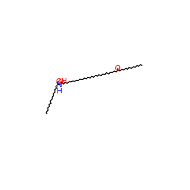 CCCCCCCCCCCCCCCC[C@@H](CO)NC(=O)CCCCCCCCCCCCCCCCCCCCCCCCCCCCCC(=O)CCCCCCCCCCCCC